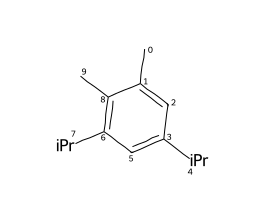 Cc1cc(C(C)C)cc(C(C)C)c1C